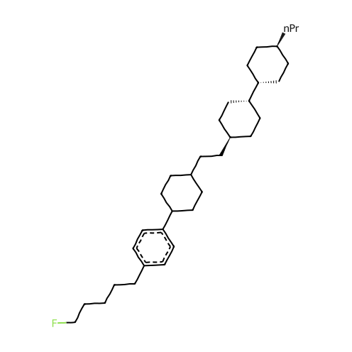 CCC[C@H]1CC[C@H]([C@H]2CC[C@H](CCC3CCC(c4ccc(CCCCCF)cc4)CC3)CC2)CC1